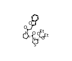 CCOC(OCC)[C@@H]1CSCN1C(=O)[C@@H]1CCCN1C(=O)Cc1cc2ccccc2o1